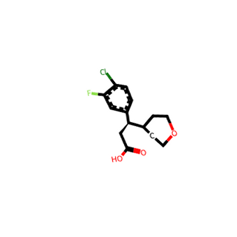 O=C(O)C[C@@H](c1ccc(Cl)c(F)c1)C1CCOCC1